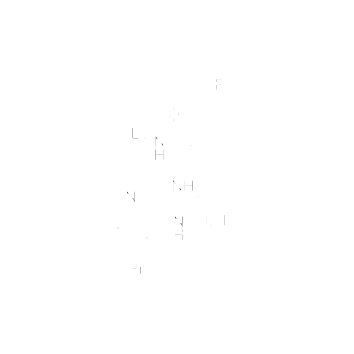 CCNC(=O)Oc1cc(F)ccc1OCCCC(C)Nc1c(N)cnc2ccc(Br)cc12